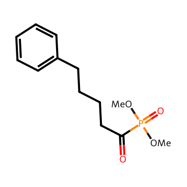 COP(=O)(OC)C(=O)CCCCc1ccccc1